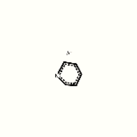 [Ar].c1ccncc1